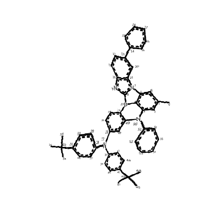 Cc1cc2c3c(c1)-n1c(nc4ccc(-c5ccccc5)cc41)B3c1ccc(N(c3ccc(C(C)(C)C)cc3)c3ccc(C(C)(C)C)cc3)cc1N2c1ccccc1